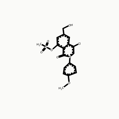 COc1ccc(-n2cc(Cl)c3cc(CO)cc(OS(C)(=O)=O)c3c2=O)cc1